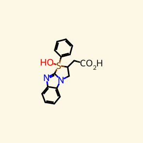 O=C(O)CC1Cn2c(nc3ccccc32)S1(O)c1ccccc1